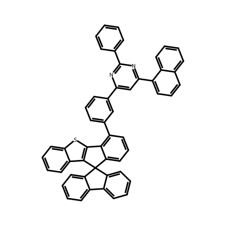 c1ccc(-c2nc(-c3cccc(-c4cccc5c4-c4sc6ccccc6c4C54c5ccccc5-c5ccccc54)c3)cc(-c3cccc4ccccc34)n2)cc1